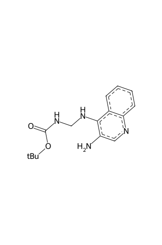 CC(C)(C)OC(=O)NCNc1c(N)cnc2ccccc12